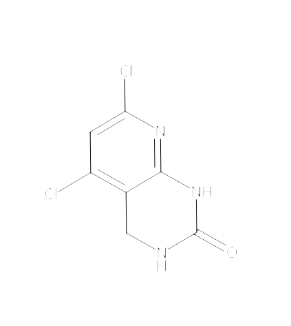 O=C1NCc2c(Cl)cc(Cl)nc2N1